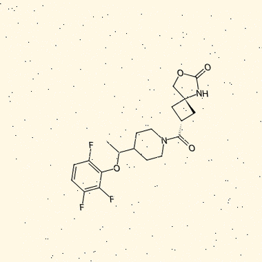 CC(Oc1c(F)ccc(F)c1F)C1CCN(C(=O)[C@H]2C[C@]3(COC(=O)N3)C2)CC1